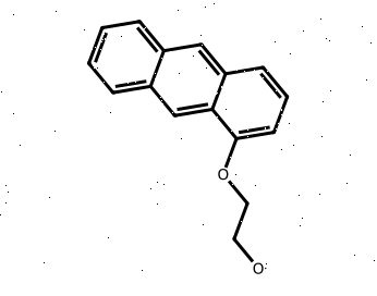 [O]CCOc1cccc2cc3ccccc3cc12